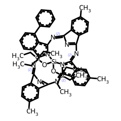 CC[Si](CC)(CC)O[Si]1(O[Si](CC)(CC)CC)n2c3c4cccc(-c5ccccc5)c4c2/N=C2N=C(/N=c4/c5cc(C)ccc5/c(n41)=N/C1=NC(=N\3)/c3ccc(C)cc31)c1ccc(C)cc1\2